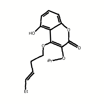 CC/C=C/CCOc1c(OC(C)C)c(=O)oc2cccc(O)c12